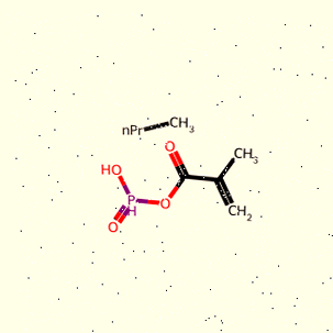 C=C(C)C(=O)O[PH](=O)O.CCCC